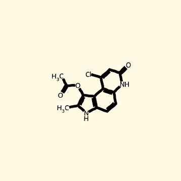 CC(=O)Oc1c(C)[nH]c2ccc3[nH]c(=O)cc(Cl)c3c12